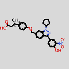 C[C@@H](CC(=O)O)c1ccc(OCc2ccc3c(-c4ccc(O)c([N+](=O)[O-])c4)nn(C4CCCC4)c3c2)cc1